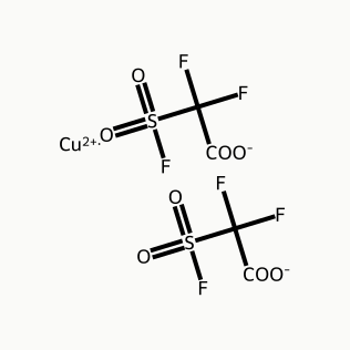 O=C([O-])C(F)(F)S(=O)(=O)F.O=C([O-])C(F)(F)S(=O)(=O)F.[Cu+2]